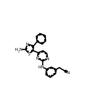 N#CCc1cccc(Nc2nccc(-c3sc(N)nc3-c3ccccc3)n2)c1